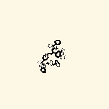 CN(CC(CCN1CCC(C(=O)c2nc3ccccc3n2CCOCc2ccco2)CC1)c1ccc(Cl)c(Cl)c1)C(=O)c1ccccc1